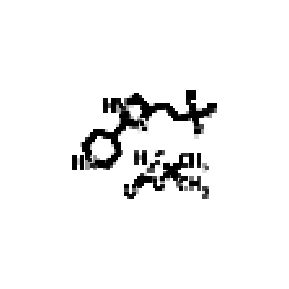 CC(C)(C)OC=O.FC(F)(F)CCc1c[nH]c(C2CCNCC2)n1